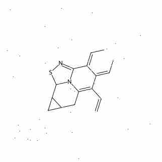 C=CC1=C2CC3CC3C3SN=C(C(=C/C)/C1=C\C)N23